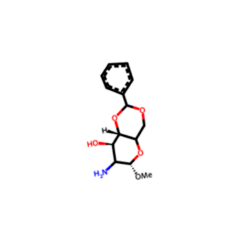 CO[C@H]1OC2COC(c3ccccc3)O[C@H]2[C@H](O)C1N